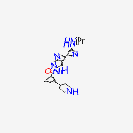 CC(C)Nc1cncc(-c2cnc3cnc(NC(=O)c4cccc(C5CCNCC5)c4)cc3c2)c1